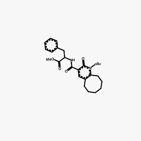 CCCCn1c2c(cc(C(=O)NC(Cc3ccccc3)C(=O)OC)c1=O)CCCCCC2